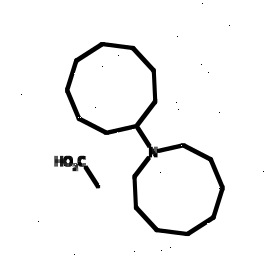 C1CCCCC(N2CCCCCCCC2)CCC1.CC(=O)O